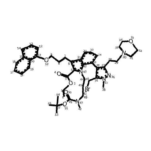 CCOC(=O)c1c(CCCOc2cccc3ccccc23)c2cccc(-c3c(CCN4CCOCC4)nn(C)c3CBr)c2n1CCCN(C)C(=O)OC(C)(C)C